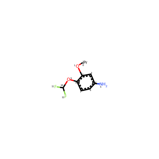 CC(C)Oc1cc(N)ccc1OC(F)F